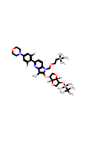 Cc1c(O[C@@H]2CO[C@@H]3C(O[Si](C)(C)C(C)(C)C)CO[C@@H]32)n(COCC[Si](C)(C)C)c2ccc(-c3c(F)cc(N4CCOCC4)cc3F)nc12